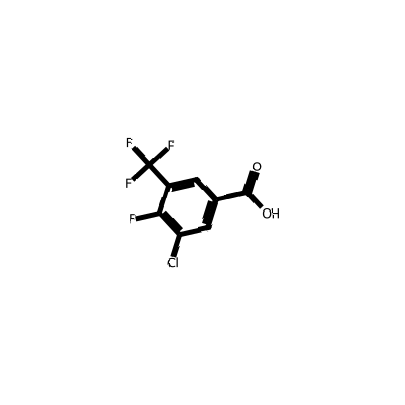 O=C(O)c1cc(Cl)c(F)c(C(F)(F)F)c1